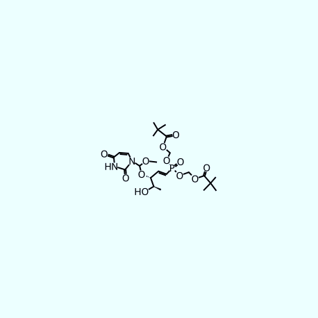 COC(O[C@H](/C=C/P(=O)(OCOC(=O)C(C)(C)C)OCOC(=O)C(C)(C)C)[C@@H](C)O)n1ccc(=O)[nH]c1=O